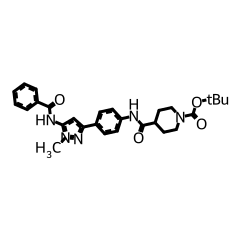 Cn1nc(-c2ccc(NC(=O)C3CCN(C(=O)OC(C)(C)C)CC3)cc2)cc1NC(=O)c1ccccc1